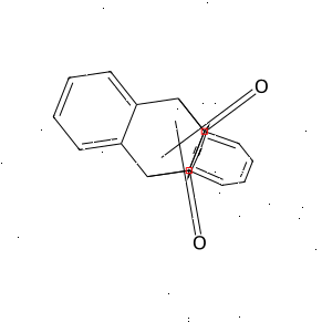 O=C1C=CC(=O)C2C3c4ccccc4C(c4ccccc43)C12